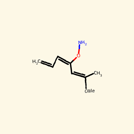 C=C/C=C(\C=C(/C)OC)ON